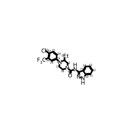 CCC1CN(C(=O)Nc2n[nH]c3ccccc23)CCN1c1ccc(Cl)c(C(F)(F)F)c1